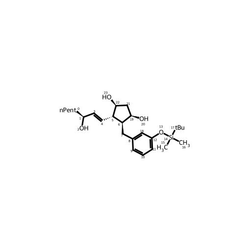 CCCCC[C@H](O)C=C[C@H]1[C@H](Cc2cccc(O[Si](C)(C)C(C)(C)C)c2)[C@H](O)C[C@@H]1O